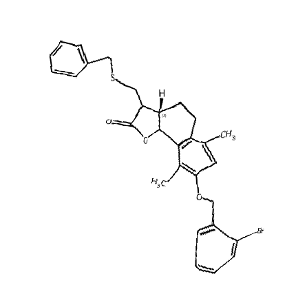 Cc1cc(OCc2ccccc2Br)c(C)c2c1CC[C@H]1C(CSCc3ccccc3)C(=O)OC21